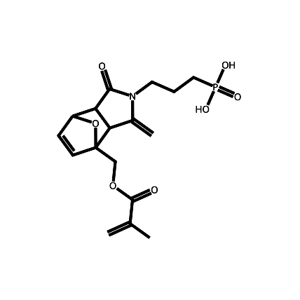 C=C(C)C(=O)OCC12C=CC(O1)C1C(=O)N(CCCP(=O)(O)O)C(=C)C12